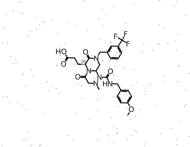 COc1ccc(CNC(=O)N2C3CN(Cc4cccc(C(F)(F)F)c4)C(=O)[C@H](CCC(=O)O)N3C(=O)CN2C)cc1